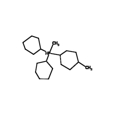 CC1CCC([PH](C)(C2CCCCC2)C2CCCCC2)CC1